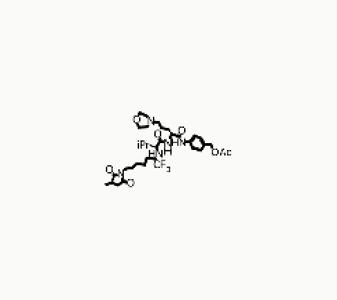 CC(=O)OCc1ccc(NC(=O)[C@H](CCCN2CCOCC2)NC(=O)[C@@H](N[C@H](CCCCCN2C(=O)CC(C)C2=O)C(F)(F)F)C(C)C)cc1